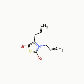 C=CCc1csc(Br)[n+]1CC=C.[Br-]